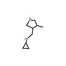 CC1CNCC1CNC1CC1